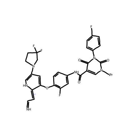 CC(C)n1cc(C(=O)Nc2ccc(OC3=CC(N4CCC(F)(F)C4)=CN/C3=C\C=N)c(F)c2)c(=O)n(-c2ccc(F)cc2)c1=O